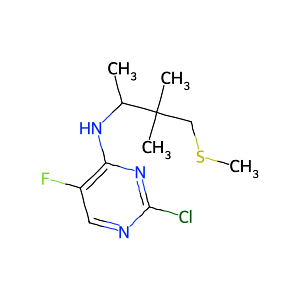 CSCC(C)(C)C(C)Nc1nc(Cl)ncc1F